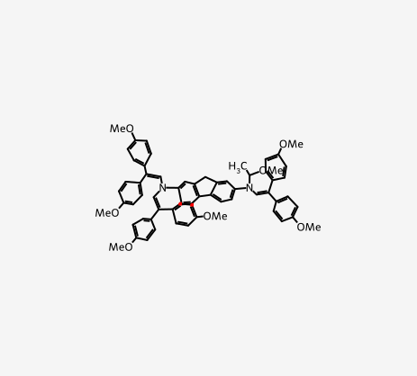 COc1ccc(C(=CN(C=C(c2ccc(OC)cc2)c2ccc(OC)cc2)c2ccc3c(c2)Cc2cc(N(C=C(c4ccc(OC)cc4)c4ccc(OC)cc4)C(C)OC)ccc2-3)c2ccc(OC)cc2)cc1